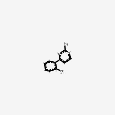 N#Cc1nccc(-c2ccccc2C(F)(F)F)n1